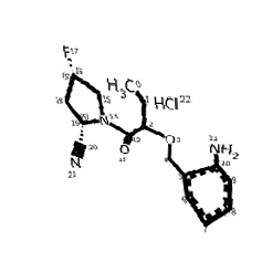 CCC(OCc1ccccc1N)C(=O)N1C[C@@H](F)C[C@H]1C#N.Cl